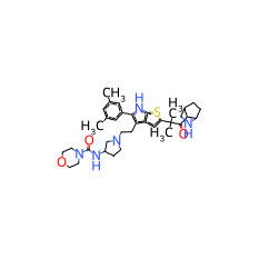 Cc1cc(C)cc(-c2[nH]c3sc(C(C)(C)C(=O)C4C5CCC4NC5)cc3c2CCN2CCC(NC(=O)N3CCOCC3)C2)c1